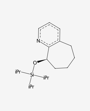 CC(C)[Si](O[C@@H]1CCCCc2cccnc21)(C(C)C)C(C)C